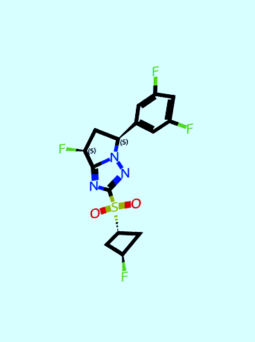 O=S(=O)(c1nc2n(n1)[C@H](c1cc(F)cc(F)c1)C[C@@H]2F)[C@H]1C[C@H](F)C1